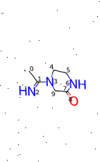 [CH2]C(=N)N1CCNC(=O)C1